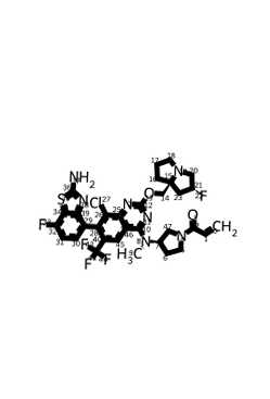 C=CC(=O)N1CC[C@@H](N(C)c2nc(OC[C@@]34CCCN3C[C@H](F)C4)nc3c(Cl)c(-c4ccc(F)c5sc(N)nc45)c(C(F)(F)F)cc23)C1